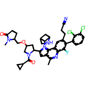 Cc1nc2c(F)c(-c3cccc(Cl)c3Cl)c(CCC#N)cc2c2c1cc(C1CC(OCC3CCC(=O)N3C)CN1C(=O)C1CC1)n2C1C2CNC1C2